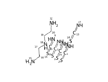 N=C=S.N=C=S.N=C=S.N=C=S.N=C=S.NCCNCCN